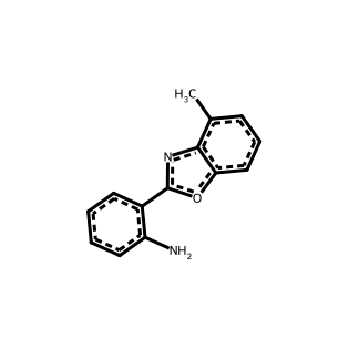 Cc1cccc2oc(-c3ccccc3N)nc12